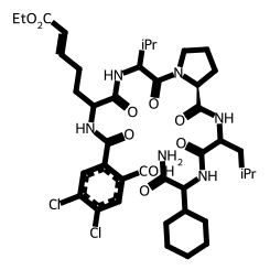 CCOC(=O)/C=C/CCC(NC(=O)c1cc(Cl)c(Cl)cc1C(=O)O)C(=O)NC(C(=O)N1CCC[C@H]1C(=O)NC(CC(C)C)C(=O)NC(C(N)=O)C1CCCCC1)C(C)C